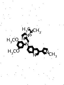 COc1cc(OC)cc(N(Cc2nccn2SN(C)C)c2ccc3ncc(-c4ccn(C)c4)cc3c2)c1